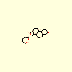 CC1[C@@H]2CCC3=CC(=O)CC[C@@H]3[C@H]2CC[C@]1(C)[C@H](C)OC1CCCCO1